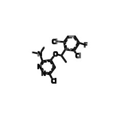 CC(Oc1cc(Cl)nnc1N(C)C)c1c(Cl)ccc(F)c1Cl